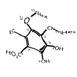 CCCCCCOc1c(O)c(O)c(C(=O)O)c(CC)c1OCCCCCC